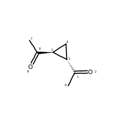 CC(=O)[C@H]1C[C@@H]1C(C)=O